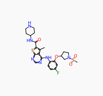 Cc1c(C(=O)NC2CCNCC2)sc2ncnc(Nc3ccc(F)cc3OC3CCN(S(C)(=O)=O)C3)c12